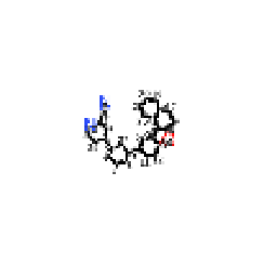 N#Cc1cc(-c2cccc(-c3ccc4oc5ccc6ccccc6c5c4c3)c2)ccn1